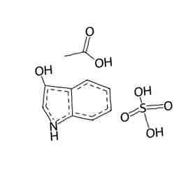 CC(=O)O.O=S(=O)(O)O.Oc1c[nH]c2ccccc12